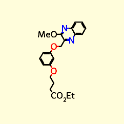 CCOC(=O)CCCOc1cccc(OCc2nc3ccccc3nc2OC)c1